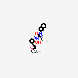 Cc1[nH]n(-c2ccc3c(c2)CCCC3)c(=O)c1N=Nc1cccc(-c2ccc(C(=O)O)o2)c1O